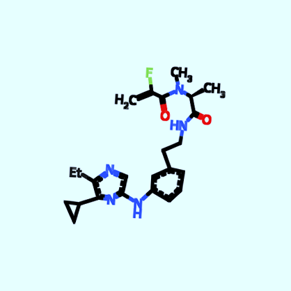 C=C(F)C(=O)N(C)[C@@H](C)C(=O)NCCc1cccc(Nc2cnc(CC)c(C3CC3)n2)c1